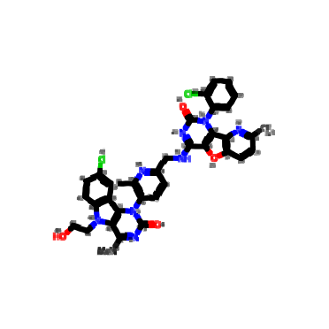 CNc1nc(=O)n(-c2ccc(CNc3nc(=O)n(-c4ccccc4Cl)c4c3oc3ccc(C(F)(F)F)nc34)nc2C)c2c3cc(Cl)ccc3n(CCO)c12